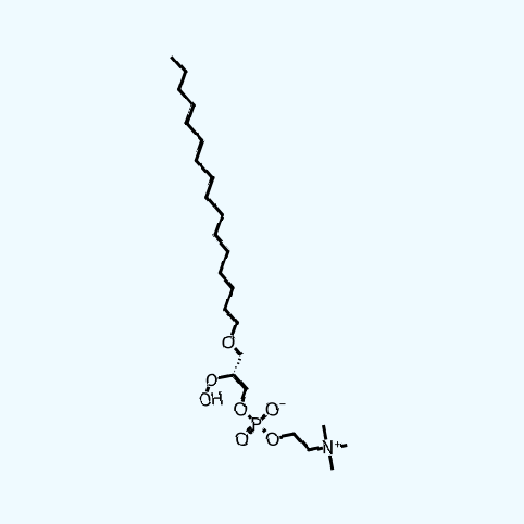 CCCCCCCCCCCCCCCCOC[C@H](COP(=O)([O-])OCC[N+](C)(C)C)OO